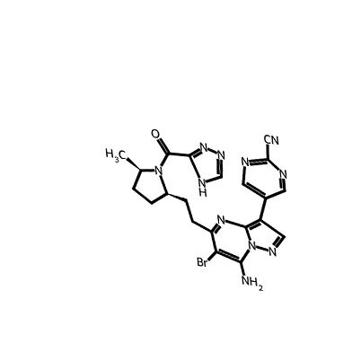 C[C@@H]1CC[C@H](CCc2nc3c(-c4cnc(C#N)nc4)cnn3c(N)c2Br)N1C(=O)c1nnc[nH]1